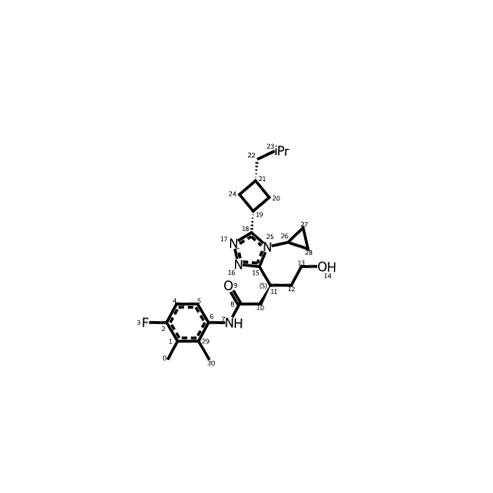 Cc1c(F)ccc(NC(=O)C[C@H](CCO)c2nnc([C@H]3C[C@@H](CC(C)C)C3)n2C2CC2)c1C